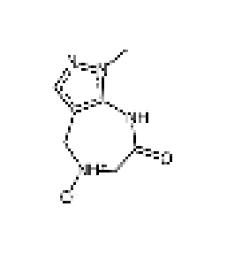 Cn1ncc2c1NC(=O)C[NH+]([O-])C2